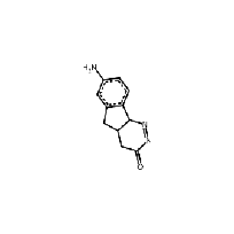 Nc1ccc2c(c1)CC1CC(=O)N=NC21